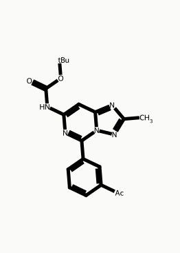 CC(=O)c1cccc(-c2nc(NC(=O)OC(C)(C)C)cc3nc(C)nn23)c1